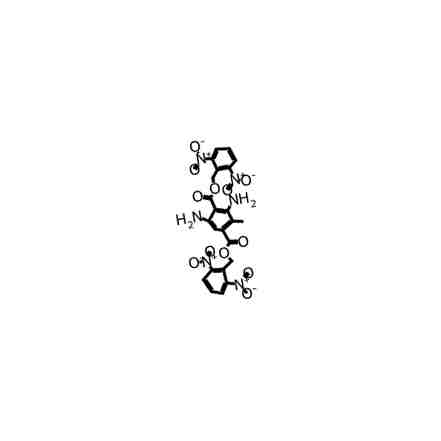 Cc1c(C(=O)OCc2c([N+](=O)[O-])cccc2[N+](=O)[O-])cc(N)c(C(=O)OCc2c([N+](=O)[O-])cccc2[N+](=O)[O-])c1N